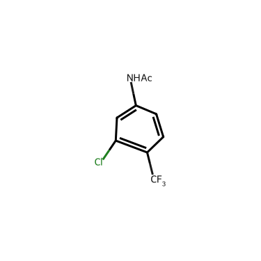 CC(=O)Nc1ccc(C(F)(F)F)c(Cl)c1